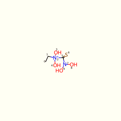 CC[N+](O)(O)C(=S)N(O)O